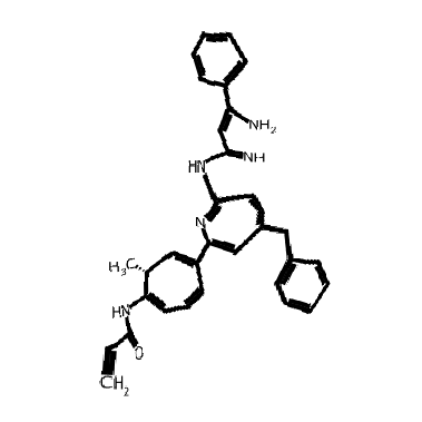 C=CC(=O)NC1=CC=CC(c2cc(Cc3ccccc3)cc(NC(=N)/C=C(\N)c3ccccc3)n2)=C[C@H]1C